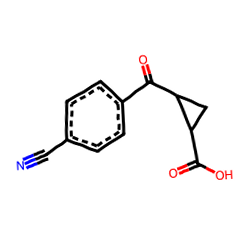 N#Cc1ccc(C(=O)C2CC2C(=O)O)cc1